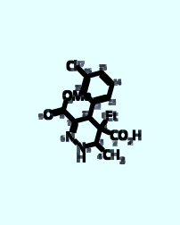 CCC1(C(=O)O)C(C)NN=C(C(=O)OC)C1c1cccc(Cl)c1